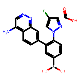 Nc1cnnc2cc(-c3cc(B(O)O)ccc3-n3cc(F)cn3)ccc12.O=CO